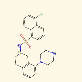 O=S(=O)(N[C@@H]1CCc2cccc(N3CCNCC3)c2C1)c1cccc2c(Cl)cccc12